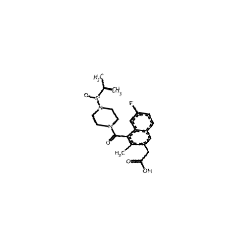 Cc1c(CC(=O)O)cc2ccc(F)cc2c1C(=O)N1CCN([S+]([O-])C(C)C)CC1